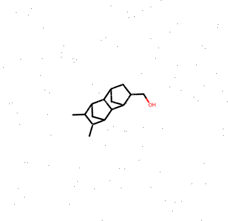 CC1C(C)C2CC1C1C3CC(CO)C(C3)C21